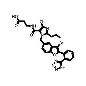 CCCc1nc(Cl)c(C(=O)NCCC(=O)O)n1Cc1ccc2oc(-c3ccccc3-c3nnn[nH]3)c(Br)c2c1